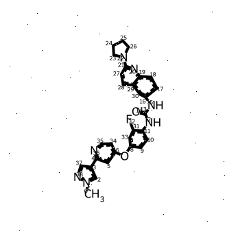 Cn1cc(-c2cc(Oc3ccc(NC(=O)Nc4ccc5nc(N6CCCC6)ccc5c4)c(F)c3)ccn2)cn1